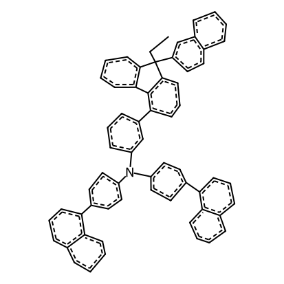 CCC1(c2ccc3ccccc3c2)c2ccccc2-c2c(-c3cccc(N(c4ccc(-c5cccc6ccccc56)cc4)c4ccc(-c5cccc6ccccc56)cc4)c3)cccc21